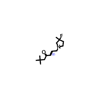 CC(C)(C)CC(=O)/C=C/CN1CCC(C)(F)C1